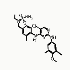 CCN(Cc1ccc(Nc2nc(Nc3cc(C)c(OC)c(C)c3)ncc2Cl)c(C)c1)S(N)(=O)=O